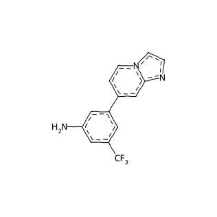 Nc1cc(-c2ccn3ccnc3c2)cc(C(F)(F)F)c1